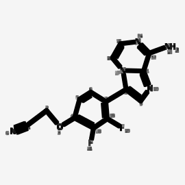 N#CCOc1ccc(-c2cnc3c(N)nccn23)c(F)c1F